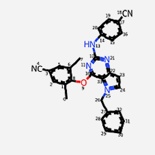 Cc1cc(C#N)cc(C)c1Oc1nc(Nc2ccc(C#N)cc2)nc2ccn(Cc3ccccc3)c12